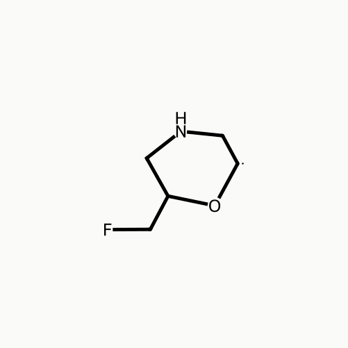 FCC1CNC[CH]O1